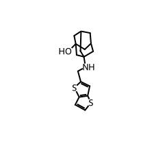 OC12CC3CC(C1)CC(NCc1cc4sccc4s1)(C3)C2